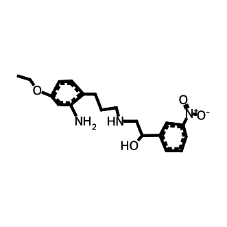 CCOc1ccc(CCCNCC(O)c2cccc([N+](=O)[O-])c2)c(N)c1